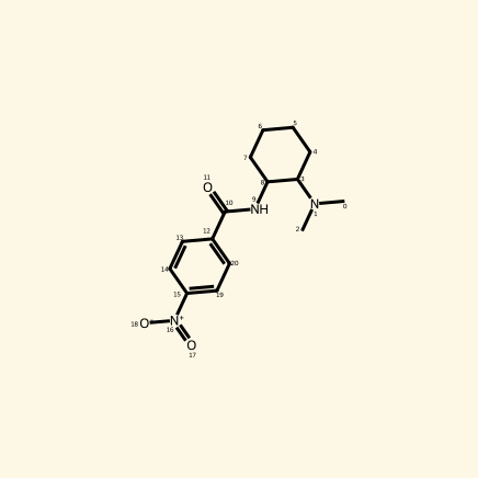 CN(C)C1CCCCC1NC(=O)c1ccc([N+](=O)[O-])cc1